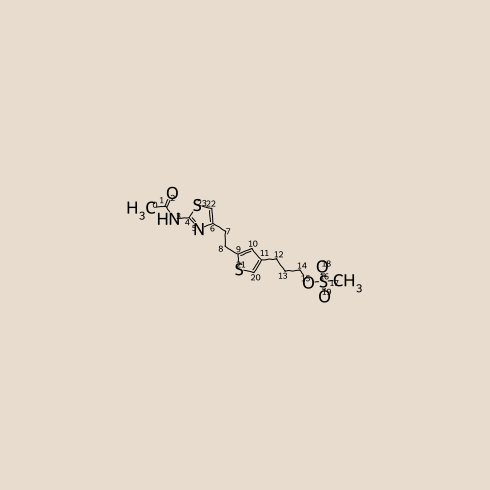 CC(=O)Nc1nc(CCc2cc(CCCOS(C)(=O)=O)cs2)cs1